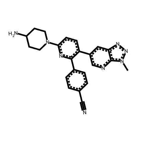 Cn1nnc2cc(-c3ccc(N4CCC(N)CC4)nc3-c3ccc(C#N)cc3)cnc21